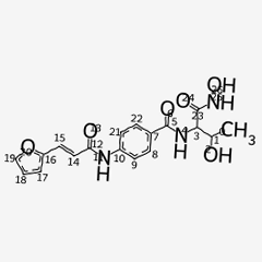 CC(O)C(NC(=O)c1ccc(NC(=O)C=Cc2ccco2)cc1)C(=O)NO